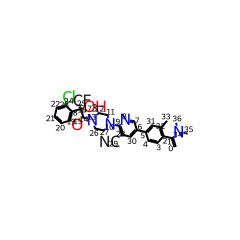 C=C(c1ccc(-c2cnc(N3CCN(C(=O)C(O)(c4ccccc4Cl)C(F)(F)F)CC3)c(C#N)c2)cc1C)N(C)C